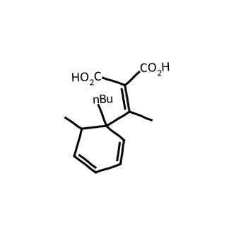 CCCCC1(C(C)=C(C(=O)O)C(=O)O)C=CC=CC1C